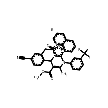 COC(=O)C1=C(C)N(c2cccc(C(F)(F)F)c2)c2n[nH]c(=O)n2C1c1ccc(C#N)cc1CC[n+]1cccc2ccccc21.[Br-]